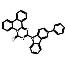 O=c1nc(-n2c3ccccc3c3cc(-c4ccccc4)ccc32)nc2c3ccccc3c3ccccc3n12